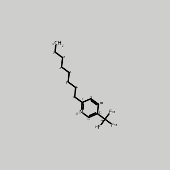 CCCCCCCCc1ccc(C(F)(F)F)cn1